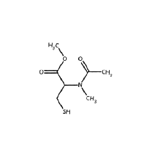 COC(=O)C(CS)N(C)C(C)=O